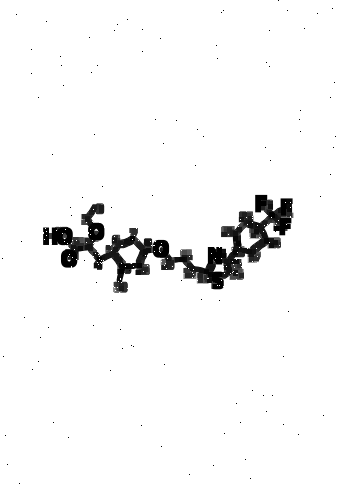 CCOC(Cc1ccc(OCCCc2nc(-c3ccc(C(F)(F)F)cc3)cs2)cc1C)C(=O)O